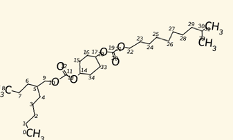 CCCCCC(CCC)COC(=O)OC1CCC(OC(=O)OCCCCCCCCC(C)C)CC1